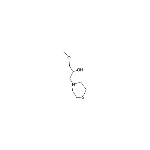 COCC(O)CN1CCSCC1